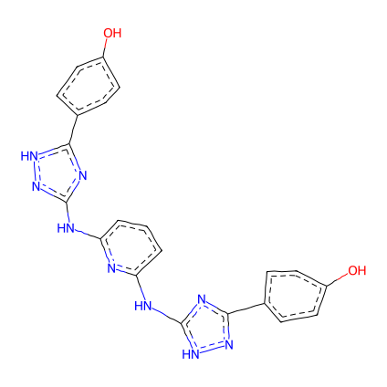 Oc1ccc(-c2n[nH]c(Nc3cccc(Nc4n[nH]c(-c5ccc(O)cc5)n4)n3)n2)cc1